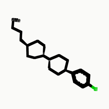 COCCC[C@H]1CC[C@H]([C@H]2CC[C@H](c3ccc(Cl)cc3)CC2)CC1